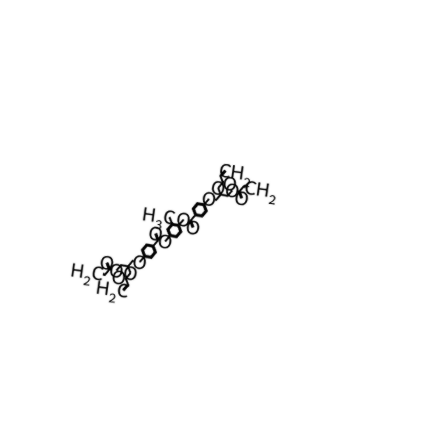 C=CC(=O)OCC(COc1ccc(C(=O)Oc2ccc(OC(=O)c3ccc(OCC(COC(=O)C=C)OC(=O)C=C)cc3)c(C)c2)cc1)OC(=O)C=C